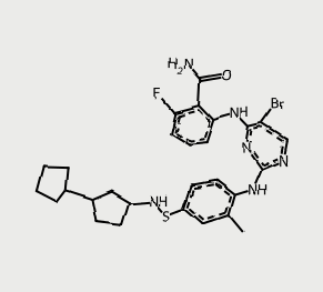 Cc1cc(SNC2CCC(C3CCCC3)C2)ccc1Nc1ncc(Br)c(Nc2cccc(F)c2C(N)=O)n1